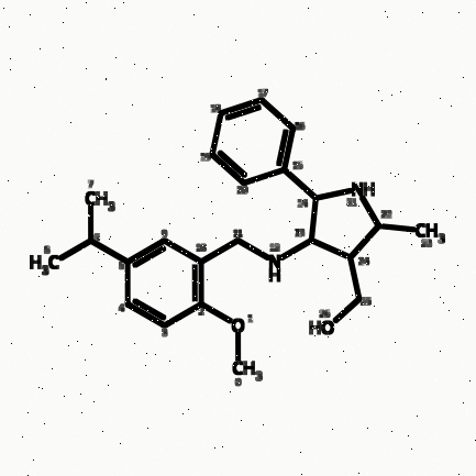 COc1ccc(C(C)C)cc1CNC1C(c2ccccc2)NC(C)C1CO